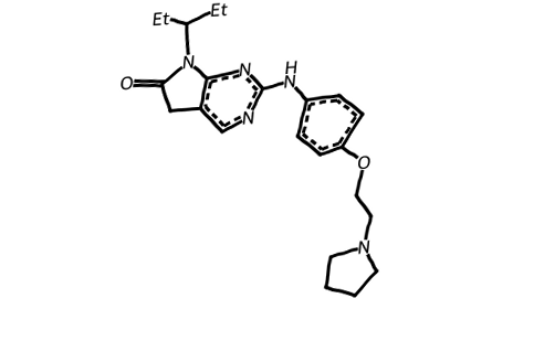 CCC(CC)N1C(=O)Cc2cnc(Nc3ccc(OCCN4CCCC4)cc3)nc21